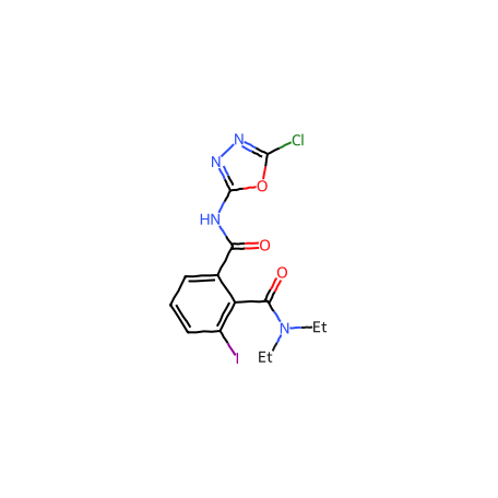 CCN(CC)C(=O)c1c(I)cccc1C(=O)Nc1nnc(Cl)o1